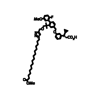 COC(=O)CCCCCCCCCCCCCCCCCn1cc(COCC(C)(C)c2cc(COc3cccc([C@@H](CC(=O)O)C4CC4)c3)ccc2-c2cc(OC)ccc2F)nn1